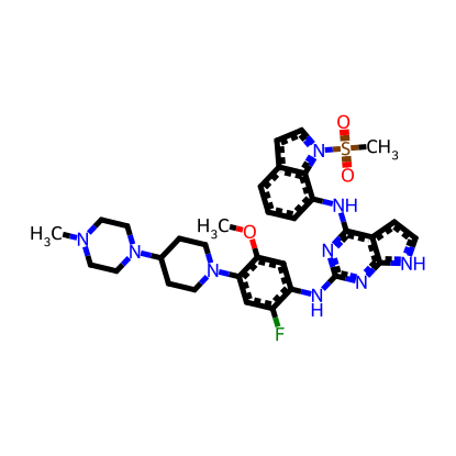 COc1cc(Nc2nc(Nc3cccc4ccn(S(C)(=O)=O)c34)c3cc[nH]c3n2)c(F)cc1N1CCC(N2CCN(C)CC2)CC1